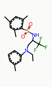 CCN(CC(NS(=O)(=O)c1c(C)cc(C)cc1C)C(F)(F)F)c1cccc(C)c1